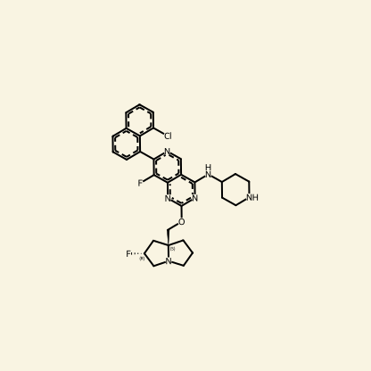 Fc1c(-c2cccc3cccc(Cl)c23)ncc2c(NC3CCNCC3)nc(OC[C@@]34CCCN3C[C@H](F)C4)nc12